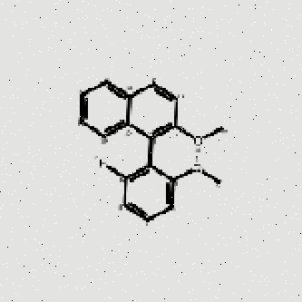 COc1cccc(F)c1-c1c(OC)ccc2ccccc12